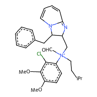 COc1ccc([N+](C=O)(CCC(C)C)CC2N=C3C=CC=CN3C2Cc2ccccc2)c(Cl)c1OC